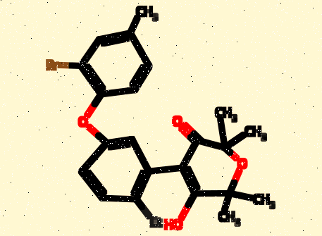 CCc1ccc(Oc2ccc(C)cc2Br)cc1C1=C(O)C(C)(C)OC(C)(C)C1=O